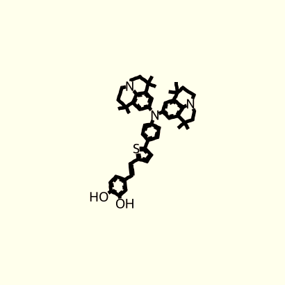 CC1(C)CCN2CCC(C)(C)c3cc(N(c4ccc(-c5ccc(/C=C/c6ccc(O)c(O)c6)s5)cc4)c4cc5c6c(c4)C(C)(C)CCN6CCC5(C)C)cc1c32